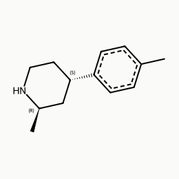 Cc1ccc([C@H]2CCN[C@H](C)C2)cc1